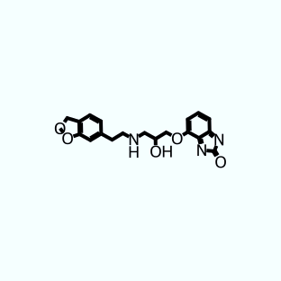 O=C1N=c2cccc(OCC(O)CNCCc3ccc4c(c3)OOC4)c2=N1